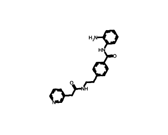 Nc1ccccc1NC(=O)c1ccc(CCNC(=O)Cc2cccnc2)cc1